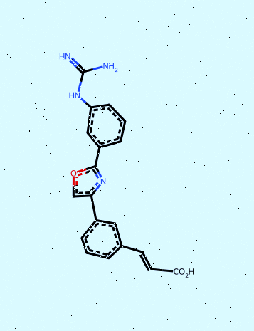 N=C(N)Nc1cccc(-c2nc(-c3cccc(C=CC(=O)O)c3)co2)c1